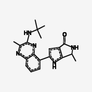 Cc1nc2cccc(-c3cc4c([nH]3)C(C)NC4=O)c2nc1NC(C)(C)C